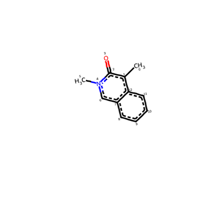 Cc1c(=O)n(C)cc2ccccc12